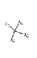 CCC(C(C)=O)(C(C)=O)C(C)=O